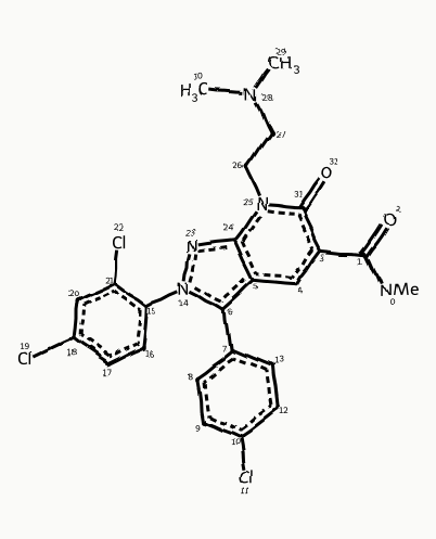 CNC(=O)c1cc2c(-c3ccc(Cl)cc3)n(-c3ccc(Cl)cc3Cl)nc2n(CCN(C)C)c1=O